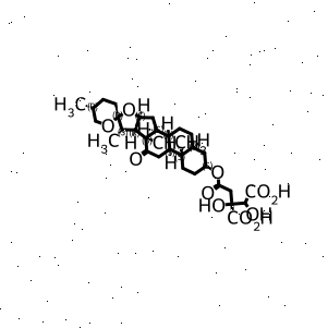 C[C@@H]1CC[C@@]2(OC1)O[C@H]1C[C@H]3[C@@H]4CC[C@H]5C[C@@H](OC(=O)CC(O)(C(=O)O)C(O)C(=O)O)CC[C@]5(C)[C@H]4CC(=O)[C@]3(C)[C@H]1[C@@H]2C